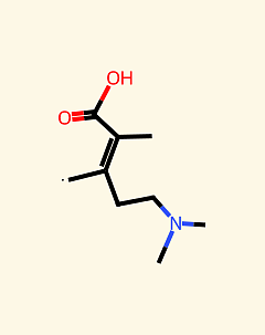 [CH2]C(CCN(C)C)=C(C)C(=O)O